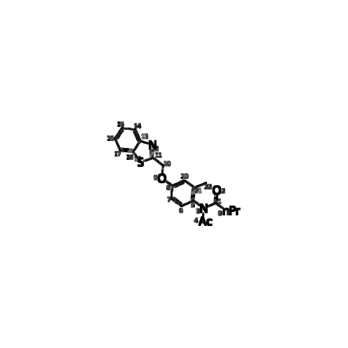 CCCC(=O)N(C(C)=O)c1ccc(OCc2nc3ccccc3s2)cc1C